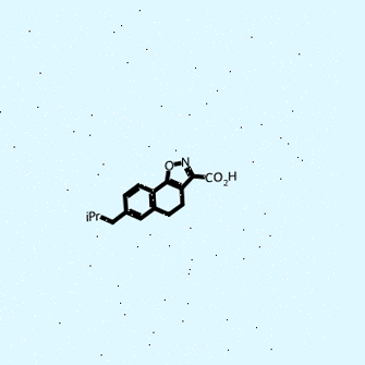 CC(C)Cc1ccc2c(c1)CCc1c(C(=O)O)noc1-2